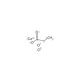 CCC(=O)[O-].[Cl-].[Cl-].[Ga+3]